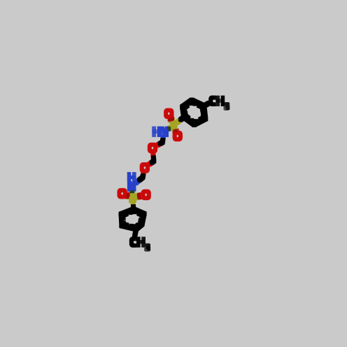 Cc1ccc(S(=O)(=O)NCOCOCNS(=O)(=O)c2ccc(C)cc2)cc1